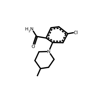 CC1CCN(c2cc(Cl)ccc2C(N)=O)CC1